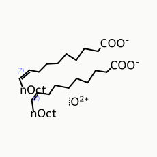 CCCCCCCC/C=C\CCCCCCCC(=O)[O-].CCCCCCCC/C=C\CCCCCCCC(=O)[O-].[O+2]